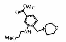 COCCNc1cc(C(=O)OC)ccc1CN1CCOCC1